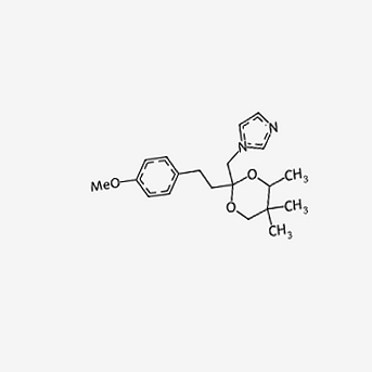 COc1ccc(CCC2(Cn3ccnc3)OCC(C)(C)C(C)O2)cc1